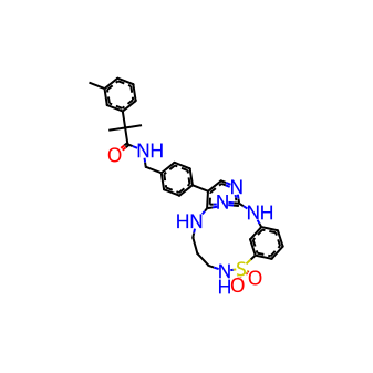 Cc1cccc(C(C)(C)C(=O)NCc2ccc(-c3cnc4nc3NCCCNS(=O)(=O)c3cccc(c3)N4)cc2)c1